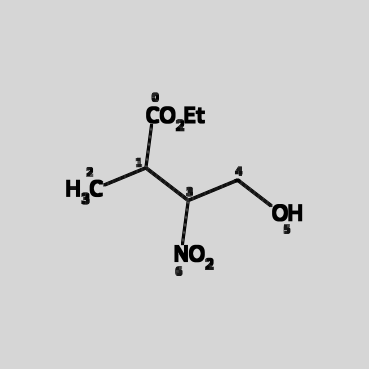 CCOC(=O)C(C)C(CO)[N+](=O)[O-]